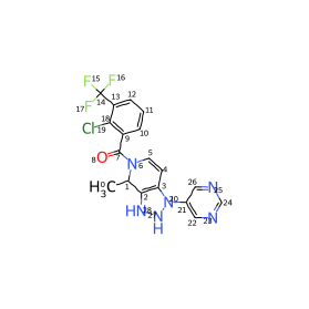 CC1C2=C(C=CN1C(=O)c1cccc(C(F)(F)F)c1Cl)N(c1cncnc1)NN2